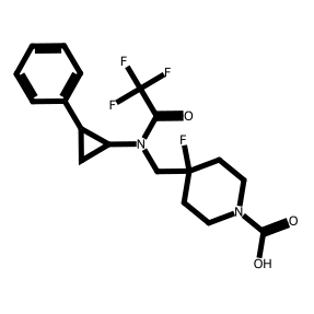 O=C(O)N1CCC(F)(CN(C(=O)C(F)(F)F)C2CC2c2ccccc2)CC1